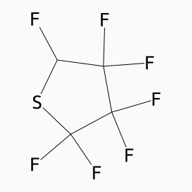 FC1SC(F)(F)C(F)(F)C1(F)F